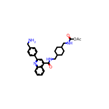 CC(=O)OC(=O)NCC1CCC(CNC(=O)c2cc(-c3ccc(CN)cc3)nc3ccccc23)CC1